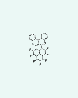 Fc1c(F)c2c(F)c(F)c3c(F)c4c(c5c(F)c(F)c(c1F)c2c35)Oc1ccccc1B4c1ccccc1